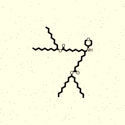 CCCCCCCCC(CCCCCCCC)OC(=O)CCCCCCC(CCCCCCC(=O)OC(CCCCCCCC)CCCCCCCC)NC1CCOCC1